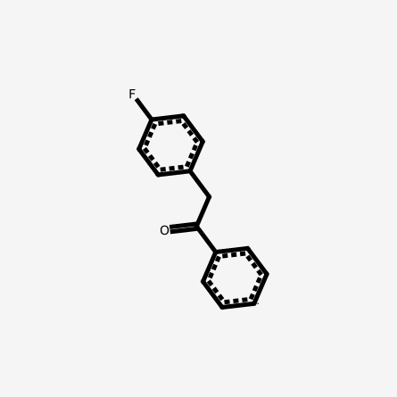 O=C(Cc1ccc(F)cc1)c1cc[c]cc1